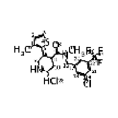 Cc1ccsc1C1CNCCC1C(=O)N(C)Cc1cc(Cl)cc(C(F)(F)F)c1.Cl